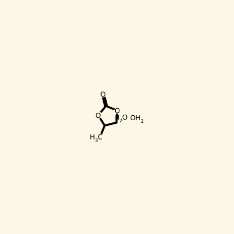 CC1COC(=O)O1.O.O